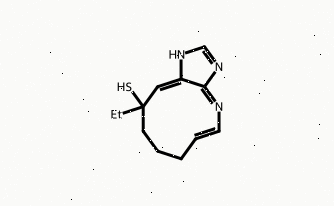 CCC1(S)/C=c2/[nH]cn/c2=N/C=C/CCC1